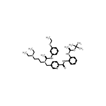 C=C(Nc1ccccc1NC(=O)c1ccc(CN(CCCN(CC)CC)C(=C)Nc2cccc(OCC)c2)cn1)OC(C)(C)C